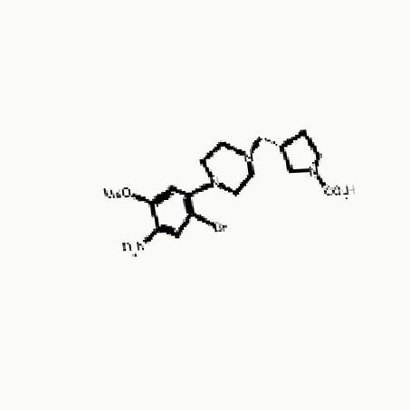 COc1cc(N2CCN(C[C@@H]3CCN(C(=O)O)C3)CC2)c(Br)cc1[N+](=O)[O-]